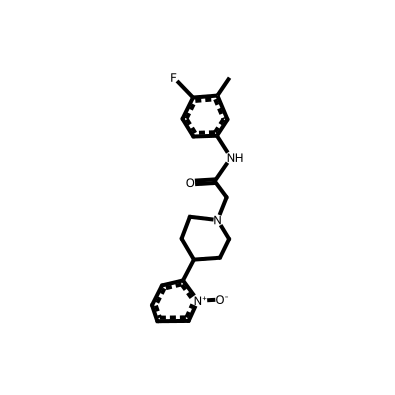 Cc1cc(NC(=O)CN2CCC(c3cccc[n+]3[O-])CC2)ccc1F